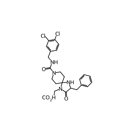 O=C(O)CN1C(=O)C(Cc2ccccc2)NC12CCN(C(=O)NCc1ccc(Cl)c(Cl)c1)CC2